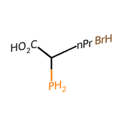 Br.CCCC(P)C(=O)O